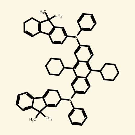 CC1(C)C2=CC(N(c3ccccc3)c3ccc4c(C5CCCCC5)c5ccc(N(c6ccccc6)c6ccc7c(c6)C(C)(C)C6=C7C=CCC6)cc5c(C5CCCCC5)c4c3)CC=C2c2ccccc21